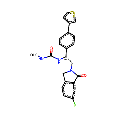 O=CNC(=O)N[C@@H](CN1Cc2ccc(F)cc2C1=O)c1ccc(-c2ccsc2)cc1